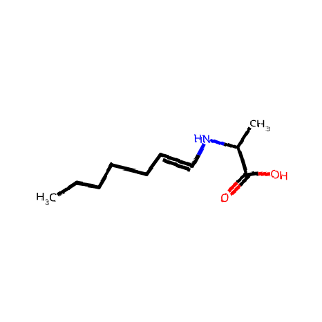 CCCCC/C=C/NC(C)C(=O)O